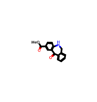 COC(=O)c1ccc2c(c1)C(=O)c1ccccc1CN2